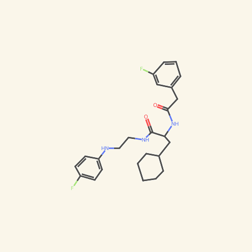 O=C(Cc1cccc(F)c1)NC(CC1CCCCC1)C(=O)NCCNc1ccc(F)cc1